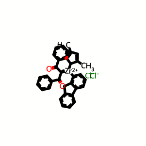 CC1=C[CH]([Zr+2](=[C](C(=O)c2ccccc2)C(=O)c2ccccc2)[c]2cccc3c2Cc2ccccc2-3)C(C)=C1.[Cl-].[Cl-]